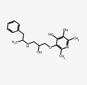 Cc1nc(C)c(OCC(O)CNC(C)Cc2ccccc2)c(O)c1O